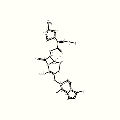 CCO/N=C(\C(=O)N[C@@H]1C(=O)N2C(C(=O)[O-])=C(Cn3cc[n+]4c(Br)ccc-4c3C)CS[C@H]12)c1csc(N)n1